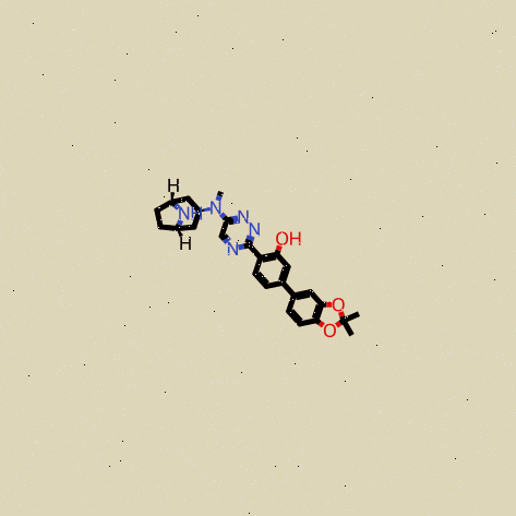 CN(c1cnc(-c2ccc(-c3ccc4c(c3)OC(C)(C)O4)cc2O)nn1)[C@@H]1C[C@H]2CC[C@@H](C1)N2